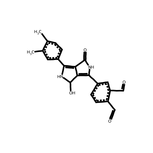 Cc1ccc(C2=C3C(=O)NC(c4ccc(C=O)c(C=O)c4)=C3C(O)N2)cc1C